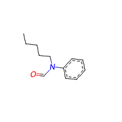 CCCCCN(C=O)c1ccccc1